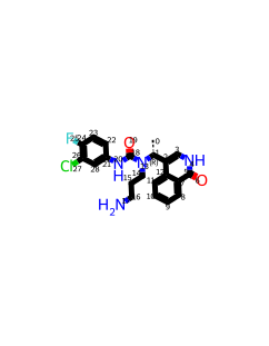 C[C@H](c1c[nH]c(=O)c2ccccc12)N(CCCN)C(=O)Nc1ccc(F)c(Cl)c1